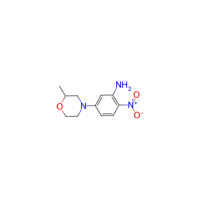 CC1CN(c2ccc([N+](=O)[O-])c(N)c2)CCO1